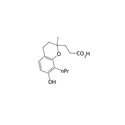 CCCc1c(O)ccc2c1OC(C)(CCC(=O)O)CC2